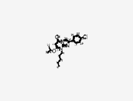 CCCCCn1c(OC(C)C)cc(=O)n2cc(-c3ccc(Cl)cc3)nc12